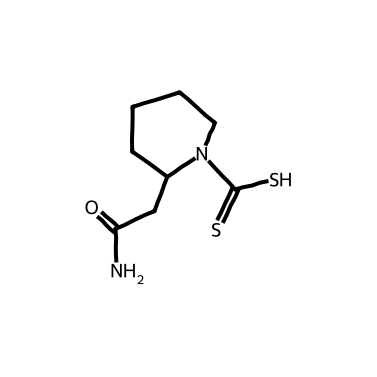 NC(=O)CC1CCCCN1C(=S)S